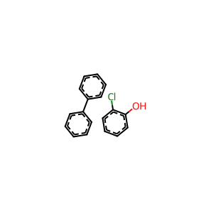 Oc1ccccc1Cl.c1ccc(-c2ccccc2)cc1